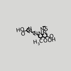 Cc1cc(N2CC(n3cc(C(=O)O)cn3)C2)nc2c1c(=O)c(C(=O)O)cn2-c1nccs1